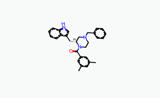 Cc1cc(C)cc(C(=O)N2CCN(Cc3ccccc3)C[C@H]2Cc2c[nH]c3ccccc23)c1